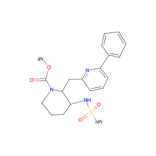 CCCS(=O)(=O)NC1CCCN(C(=O)OC(C)C)C1Cc1cccc(-c2ccccc2)n1